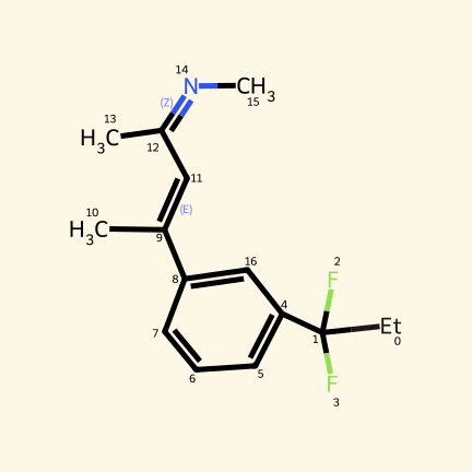 CCC(F)(F)c1cccc(/C(C)=C/C(C)=N\C)c1